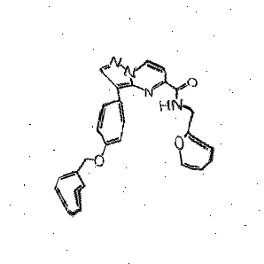 O=C(NCc1ccco1)c1ccn2ncc(-c3ccc(OCc4ccccc4)cc3)c2n1